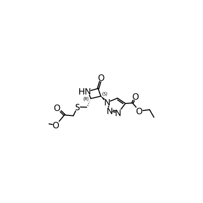 CCOC(=O)c1cn([C@@H]2C(=O)N[C@H]2CSCC(=O)OC)nn1